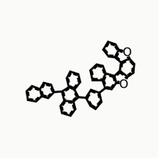 c1cc(-c2c3ccccc3c(-c3ccc4ccccc4c3)c3ccccc23)cc(-c2cc3oc4ccc5oc6ccccc6c5c4c3c3ccccc23)c1